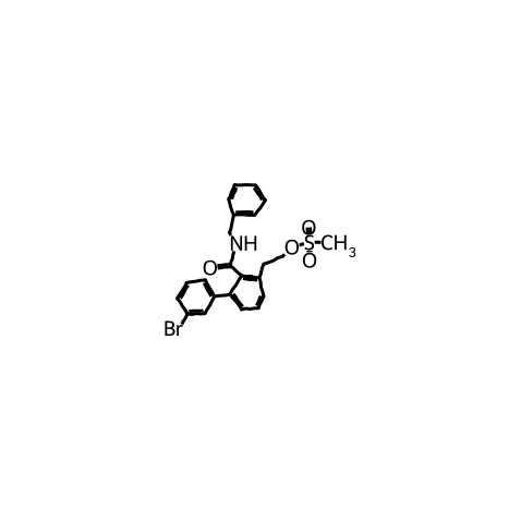 CS(=O)(=O)OCCc1cccc(-c2cccc(Br)c2)c1C(=O)NCc1ccccc1